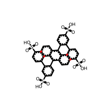 O=S(=O)(O)c1ccc(-c2cc(S(=O)(=O)O)ccc2-c2c3ccccc3c(-c3ccc(S(=O)(=O)O)cc3-c3ccc(S(=O)(=O)O)cc3)c3ccccc23)cc1